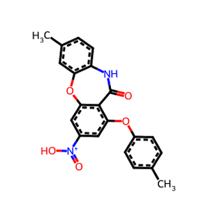 Cc1ccc(Oc2cc([N+](=O)O)cc3c2C(=O)Nc2ccc(C)cc2O3)cc1